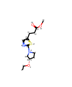 CCO[C@H]1CCN(c2ncc(CCC(=O)OC)s2)C1